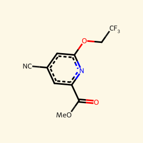 COC(=O)c1cc(C#N)cc(OCC(F)(F)F)n1